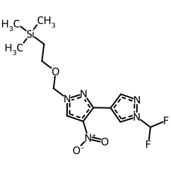 C[Si](C)(C)CCOCn1cc([N+](=O)[O-])c(-c2cnn(C(F)F)c2)n1